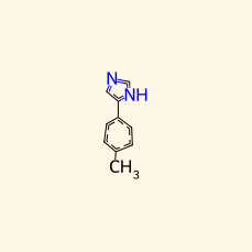 Cc1ccc(-c2cnc[nH]2)cc1